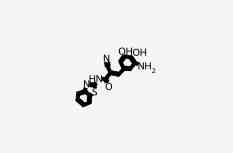 N#C/C(=C\c1cc(N)c(O)c(O)c1)C(=O)Nc1nc2ccccc2s1